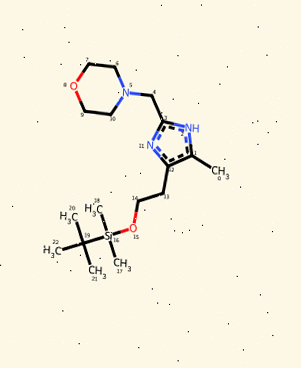 Cc1[nH]c(CN2CCOCC2)nc1CCO[Si](C)(C)C(C)(C)C